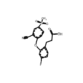 CS(=O)(=O)c1ccc(Oc2cc(F)ccc2CCC(=O)O)c(C#N)c1